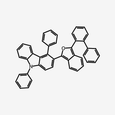 c1ccc(-c2ccccc2-c2oc(-c3ccc4c(c3-c3ccccc3)c3ccccc3n4-c3ccccc3)c3ccccc23)cc1